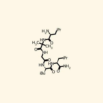 CC[C@H](C)[C@H](NC(=O)CNC(=O)C(C)(C)NC(=O)[C@@H](N)CC(C)C)C(=O)N[C@@H](CC(C)C)C(N)=O